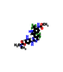 COC(=O)Nc1ccc2c(-c3nc(N[C@@H]4CNC[C@@H](OC(=O)N(C)C)C4)ncc3C(F)(F)F)c[nH]c2c1C(F)(F)F